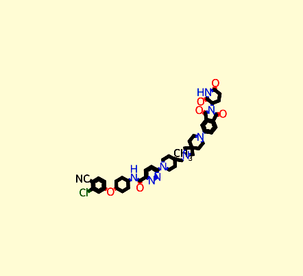 CC1(CN2CC3(CCN(c4ccc5c(c4)C(=O)N(C4CCC(=O)NC4=O)C5=O)CC3)C2)CCN(c2ccc(C(=O)NC3CCC(Oc4ccc(C#N)c(Cl)c4)CC3)nn2)CC1